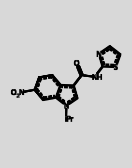 CC(C)n1cc(C(=O)Nc2nccs2)c2ccc([N+](=O)[O-])cc21